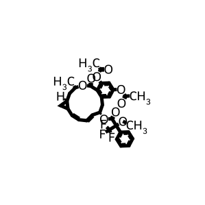 COC(C(=O)O[C@H]1/C=C/C=C\C2C[C@@H]2CC(C)OC(=O)c2c(cc(OC(C)=O)cc2OC(C)=O)C1)(c1ccccc1)C(F)(F)F